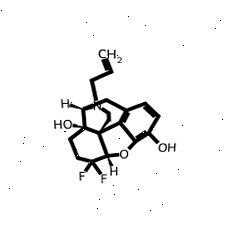 C=CCN1CC[C@@]23c4c5ccc(O)c4O[C@@H]2C(F)(F)CC[C@]3(O)[C@@H]1C5